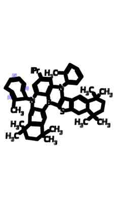 C/C1=C\C/C=C\C=C\C1N1c2cc3c(cc2B2c4sc5c(c4N(c4ccccc4C)c4cc(C(C)C)cc1c42)C=C1C(C5)C(C)(C)CCC1(C)C)C(C)(C)CCC3(C)C